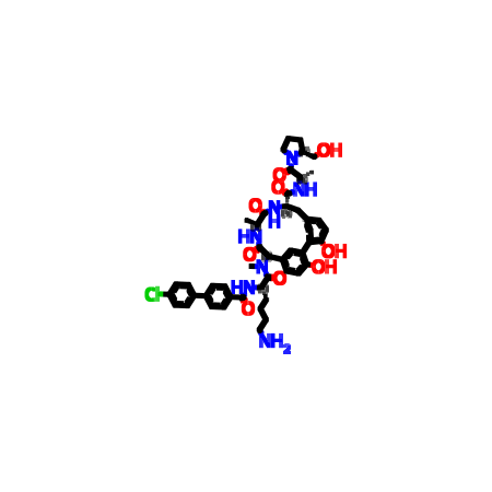 C[C@@H]1NC(=O)[C@@H](N(C)C(=O)[C@H](CCCCN)NC(=O)c2ccc(-c3ccc(Cl)cc3)cc2)c2ccc(O)c(c2)-c2cc(ccc2O)C[C@@H](C(=O)N[C@@H](C)C(=O)N2CCC[C@H]2CO)NC1=O